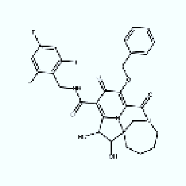 O=C(NCc1c(F)cc(F)cc1F)c1c2n3c(c(OCc4ccccc4)c1=O)C(=O)N1CCCCC3(C1)C(O)C2O